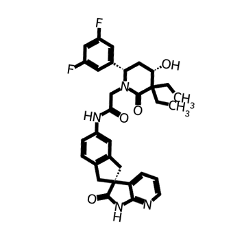 CCC1(CC)C(=O)N(CC(=O)Nc2ccc3c(c2)C[C@@]2(C3)C(=O)Nc3ncccc32)[C@H](c2cc(F)cc(F)c2)C[C@@H]1O